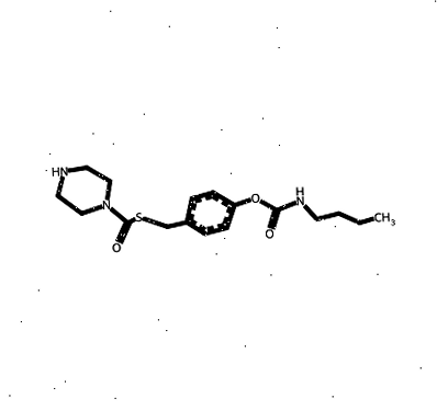 CCCCNC(=O)Oc1ccc(CSC(=O)N2CCNCC2)cc1